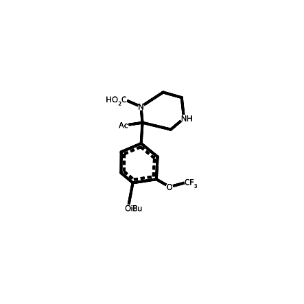 CC(=O)C1(c2ccc(OCC(C)C)c(OC(F)(F)F)c2)CNCCN1C(=O)O